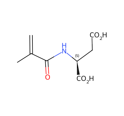 C=C(C)C(=O)N[C@@H](CC(=O)O)C(=O)O